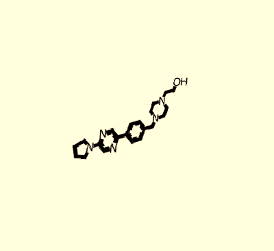 OCCN1CCN(Cc2ccc(-c3cnc(N4CCCC4)cn3)cc2)CC1